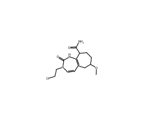 COC1CCC(C(N)=O)C2=C(C=CN(CCCl)C(=O)N2)C1